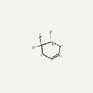 C[C@@H]1CN=CCC1(Br)Br